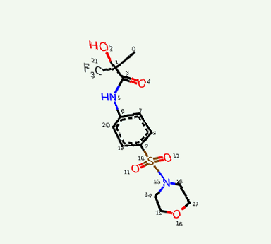 CC(O)(C(=O)Nc1ccc(S(=O)(=O)N2CCOCC2)cc1)C(F)(F)F